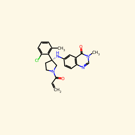 C=CC(=O)N1CC[C@@](Nc2ccc3ncn(C)c(=O)c3c2)(c2c(C)cccc2Cl)C1